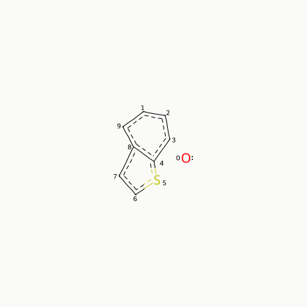 [O].c1ccc2sccc2c1